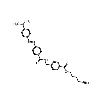 C#CCCCCOC(=O)c1ccc(CNC(=O)c2ccc(/N=N/c3ccc(N(C)C)cc3)cc2)cc1